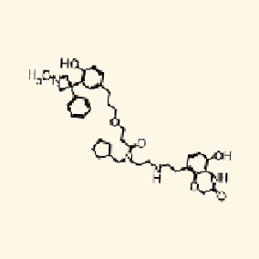 CN1CC(c2ccccc2)(c2cc(CCCOCCC(=O)N(CCNCCc3ccc(O)c4c3OCC(=O)N4)CC3CCCC3)ccc2O)C1